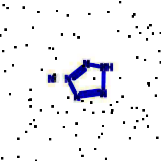 [N].n1nn[nH]n1